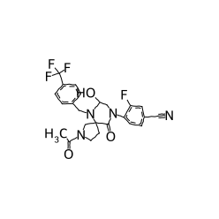 CC(=O)N1CCC2(C1)C(=O)N(c1ccc(C#N)cc1F)CC(O)N2Cc1ccc(C(F)(F)F)cc1